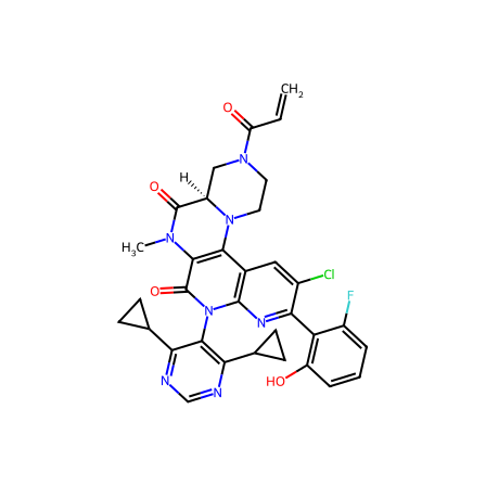 C=CC(=O)N1CCN2c3c(c(=O)n(-c4c(C5CC5)ncnc4C4CC4)c4nc(-c5c(O)cccc5F)c(Cl)cc34)N(C)C(=O)[C@H]2C1